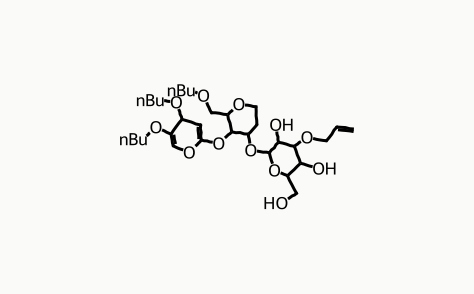 C=CCOC1C(O)C(CO)OC(OC2CCOC(COCCCC)C2OC2=CC(OCCCC)C(OCCCC)=CO2)C1O